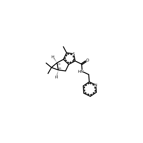 Cc1sc(C(=O)NCc2ccccn2)c2c1[C@H]1[C@@H](C2)C1(C)C